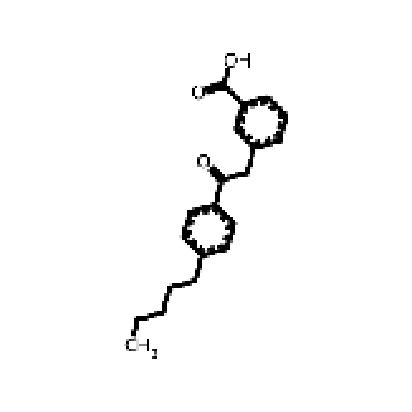 CCCCCc1ccc(C(=O)Cc2cccc(C(=O)O)c2)cc1